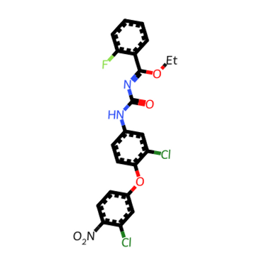 CCO/C(=N\C(=O)Nc1ccc(Oc2ccc([N+](=O)[O-])c(Cl)c2)c(Cl)c1)c1ccccc1F